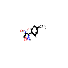 Cc1ccc(-c2nocc2[N+](=O)[O-])cc1